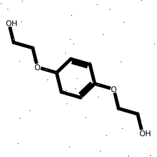 OCCO[C]1C=CC(OCCO)=CC1